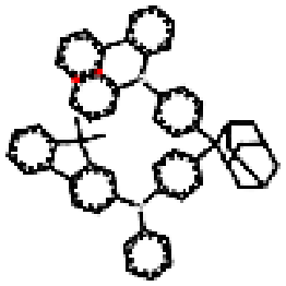 CC1(C)c2ccccc2-c2ccc(N(c3ccccc3)c3ccc(C4(c5ccc(N(c6ccccc6)c6ccccc6-c6ccccc6)cc5)C5CC6CC(C5)CC4C6)cc3)cc21